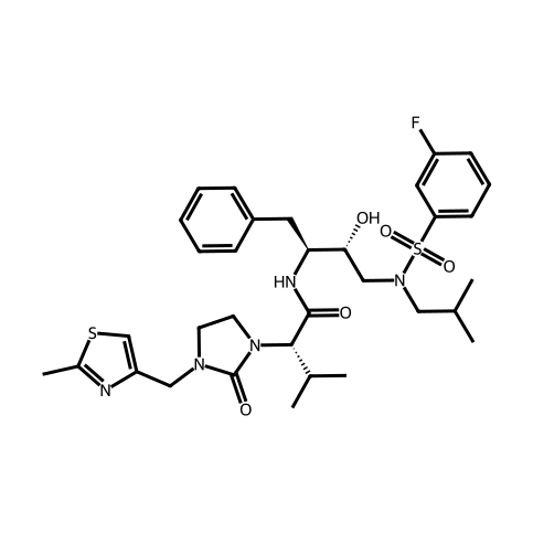 Cc1nc(CN2CCN([C@H](C(=O)N[C@@H](Cc3ccccc3)[C@H](O)CN(CC(C)C)S(=O)(=O)c3cccc(F)c3)C(C)C)C2=O)cs1